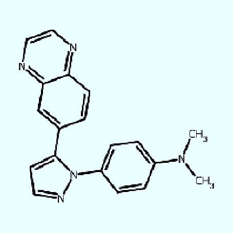 CN(C)c1ccc(-n2nccc2-c2ccc3nccnc3c2)cc1